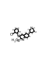 COc1nc2ccc(-c3cccnc3)cc2cc1Cc1ccccc1Cl